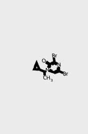 CC(C1CC1)n1cc(Br)nc(Br)c1=O